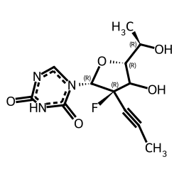 CC#C[C@@]1(F)C(O)[C@@H]([C@@H](C)O)O[C@H]1n1cnc(=O)[nH]c1=O